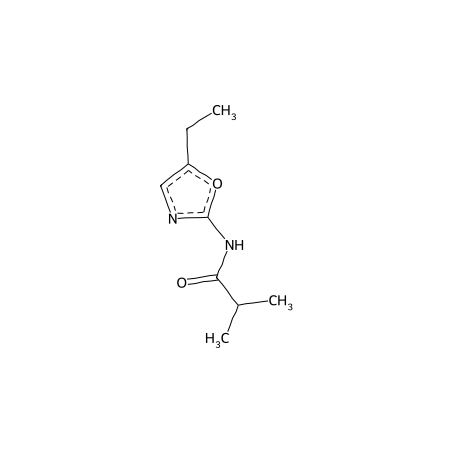 CCc1cnc(NC(=O)C(C)C)o1